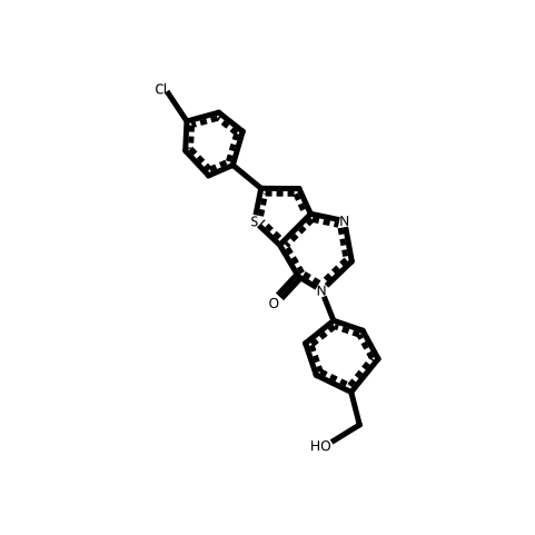 O=c1c2sc(-c3ccc(Cl)cc3)cc2ncn1-c1ccc(CO)cc1